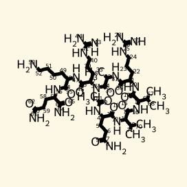 CC(=O)NC(CCC(N)=O)C(=O)NC(C(=O)NC(C(=O)NC(CCCNC(=N)N)C(=O)NC(C)C(=O)NC(CCCNC(=N)N)C(=O)NC(CCCCN)C(=O)NC(CCC(N)=O)C(N)=O)C(C)C)C(C)C